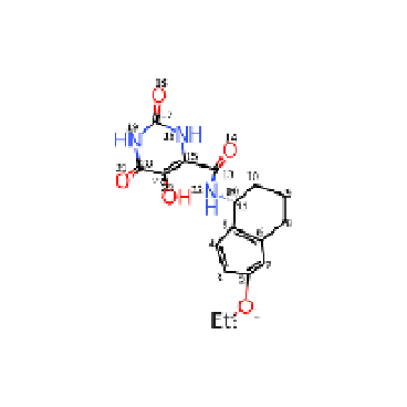 CCOc1ccc2c(c1)CCC[C@H]2NC(=O)c1[nH]c(=O)[nH]c(=O)c1O